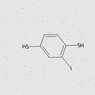 Sc1ccc(S)c(I)c1